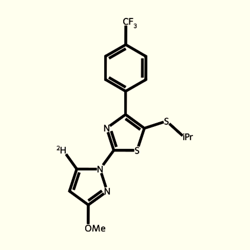 [2H]c1cc(OC)nn1-c1nc(-c2ccc(C(F)(F)F)cc2)c(SC(C)C)s1